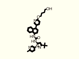 Cc1ccc(-n2nc(C(C)(C)C)cc2NC(=O)Nc2ccc(-c3ccc(OCCCCO)nc3)c3ccccc23)cn1